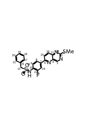 CSc1ncc2nc(-c3ccc(NS(=O)(=O)Cc4ccccc4)c(F)c3)ccc2n1